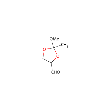 COC1(C)OCC(C=O)O1